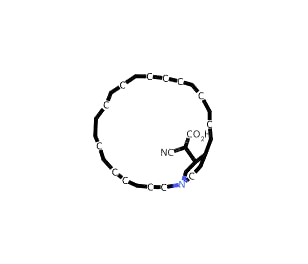 N#CC(C(=O)O)C1CN2CCCCCCCCCCCCCCCCCCCCCC1CC2